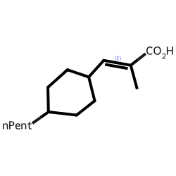 CCCCCC1CCC(/C=C(\C)C(=O)O)CC1